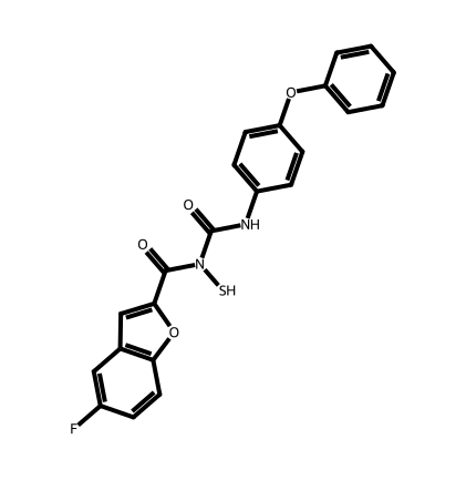 O=C(Nc1ccc(Oc2ccccc2)cc1)N(S)C(=O)c1cc2cc(F)ccc2o1